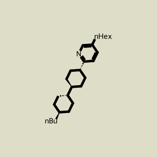 CCCCCCc1ccc([C@H]2CC[C@H]([C@H]3CC[C@H](CCCC)CC3)CC2)nc1